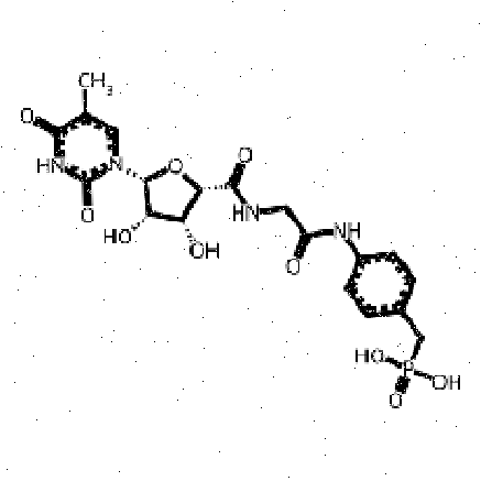 Cc1cn([C@@H]2O[C@H](C(=O)NCC(=O)Nc3ccc(CP(=O)(O)O)cc3)[C@H](O)[C@@H]2O)c(=O)[nH]c1=O